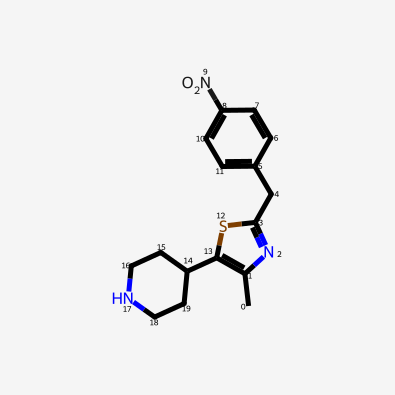 Cc1nc(Cc2ccc([N+](=O)[O-])cc2)sc1C1CCNCC1